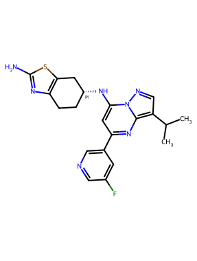 CC(C)c1cnn2c(N[C@@H]3CCc4nc(N)sc4C3)cc(-c3cncc(F)c3)nc12